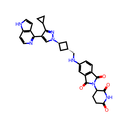 O=C1CCC(N2C(=O)c3ccc(NC[C@H]4C[C@H](n5cc(-c6nccc7[nH]ccc67)c(C6CC6)n5)C4)cc3C2=O)C(=O)N1